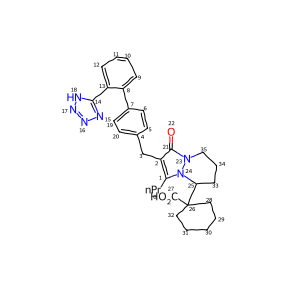 CCCc1c(Cc2ccc(-c3ccccc3-c3nnn[nH]3)cc2)c(=O)n2n1C(C1(C(=O)O)CCCCC1)CCC2